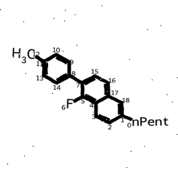 CCCCCc1ccc2c(F)c(-c3ccc(C)cc3)ccc2c1